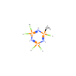 CP1(F)=NP(F)(F)=NP(F)(F)=N1